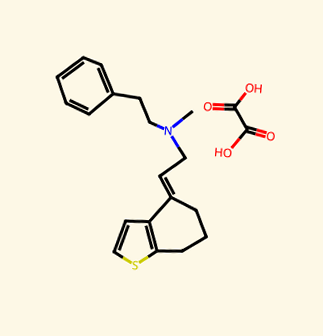 CN(CC=C1CCCc2sccc21)CCc1ccccc1.O=C(O)C(=O)O